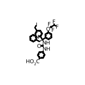 O=C(Nc1ccc(C(=O)O)cc1)N[C@@](Cc1ccccc1)(c1cccc(OC(F)(F)C(F)F)c1)c1ccc(CI)cn1